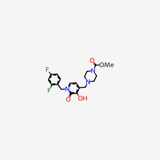 COC(=O)N1CCN(Cc2ccn(Cc3ccc(F)cc3F)c(=O)c2O)CC1